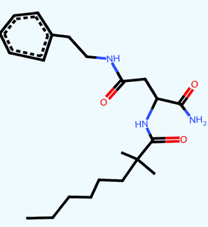 CCCCCCC(C)(C)C(=O)NC(CC(=O)NCCc1ccccc1)C(N)=O